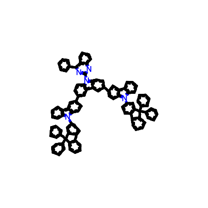 c1ccc(-c2nc(-n3c4ccc(-c5ccc6c(c5)c5ccccc5n6-c5ccc6c(c5)C(c5ccccc5)(c5ccccc5)c5ccccc5-6)cc4c4cc(-c5ccc6c(c5)c5ccccc5n6-c5ccc6c(c5)C(c5ccccc5)(c5ccccc5)c5ccccc5-6)ccc43)nc3ccccc23)cc1